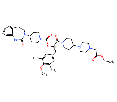 CCOC(=O)CN1CCN(C2CCN(C(=O)[C@@H](Cc3cc(C)c(OC)c(C)c3)OC(=O)N3CCC(N4CCc5ccccc5NC4=O)CC3)CC2)CC1